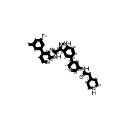 Cc1cc(F)cc(-c2ccnc3[nH]c(-c4n[nH]c5ccc(-c6cncc(NC(=O)CC7CCNCC7)c6)cc45)nc23)c1